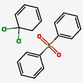 ClC1(Cl)C=CC=CC1.O=S(=O)(c1ccccc1)c1ccccc1